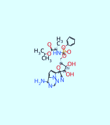 CC(C)OC(=O)[C@H](C)N[P@@](=O)(OC[C@H]1O[C@@](C#N)(c2ccc3c(N)ncnn23)[C@H](O)[C@@H]1O)Oc1ccccc1